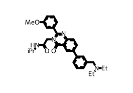 CCN(CC)Cc1cccc(-c2ccc3nc(-c4cccc(OC)c4)n(CC(=O)NC(C)C)c(=O)c3c2)c1